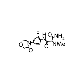 CN[C@H](C(N)=O)C(=O)Nc1ccc(N2CCOCC2=O)cc1F